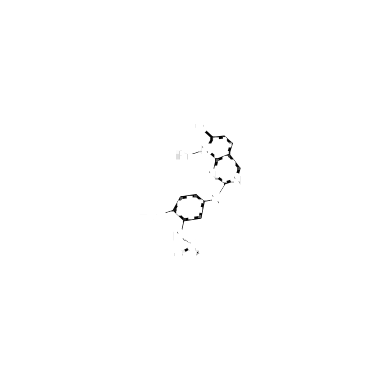 Cc1ccc(Nc2ncc3ccc(=O)n(C(C)C)c3n2)cc1NS(C)(=O)=O